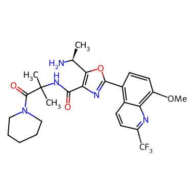 COc1ccc(-c2nc(C(=O)NC(C)(C)C(=O)N3CCCCC3)c([C@H](C)N)o2)c2ccc(C(F)(F)F)nc12